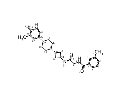 Cc1cccc(C(=O)NCC(=O)NC2CN([C@H]3CC[C@@H](c4c[nH]c(=O)c(C)c4)CC3)C2)c1